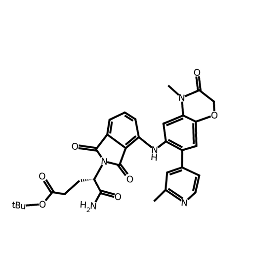 Cc1cc(-c2cc3c(cc2Nc2cccc4c2C(=O)N([C@@H](CCC(=O)OC(C)(C)C)C(N)=O)C4=O)N(C)C(=O)CO3)ccn1